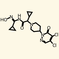 O=C(N/C(=N/O)C1CC1)C(C1CC1)N1CCC(n2ncc(Cl)c(Cl)c2=O)CC1